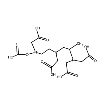 CC(CN(CCN(CC(=O)O)CC(=O)O)CC(=O)O)N(CC(=O)O)CC(=O)O